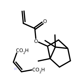 C=CC(=O)OC1CC2CCC1(C)C2(C)C.O=C(O)/C=C\C(=O)O